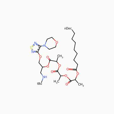 CCCCCCCCCCCCCCCCCC(=O)OC(C)C(=O)OC(C)C(=O)OC(C)C(=O)OC(CNC(C)(C)C)COc1nsnc1N1CCOCC1